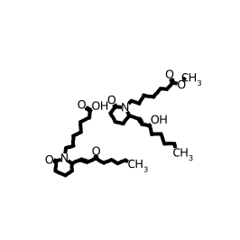 CCCCCC(=O)/C=C/C1CCCC(=O)N1CCCCCCC(=O)O.CCCCCC(O)/C=C/C1CCCC(=O)N1CCCCCCC(=O)OC